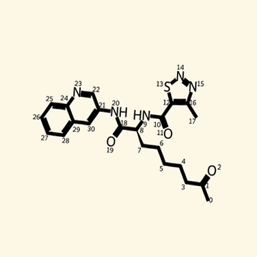 CC(=O)CCCCC[C@H](NC(=O)c1snnc1C)C(=O)Nc1cnc2ccccc2c1